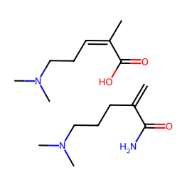 C=C(CCCN(C)C)C(N)=O.CC(=CCCN(C)C)C(=O)O